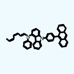 C\C=C/C=C\C=C\N(c1ccccc1)c1cccc2c1c1ccccc1n2-c1ccc(C2=c3ccccc3=CC3CC=CC=C23)cc1